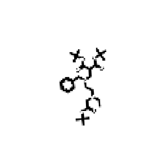 CCN(CCN(Cc1ccccc1)CC(C(=O)OC(C)(C)C)C(=O)OC(C)(C)C)CC(=O)OC(C)(C)C